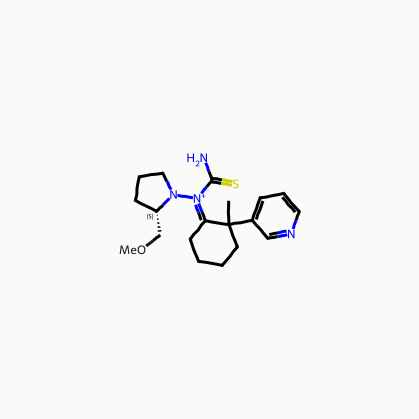 COC[C@@H]1CCCN1[N+](C(N)=S)=C1CCCCC1(C)c1cccnc1